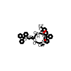 CC(C)[C@H]1NC(=O)[C@H](C(c2ccccc2)(c2ccccc2)c2ccccc2)NC(=O)[C@@H](Cc2ccccc2C(F)(F)F)NC(=O)C[C@](C=CCCSC(c2ccccc2)(c2ccccc2)c2ccccc2)(CS)OC(=O)C[C@@H]1O